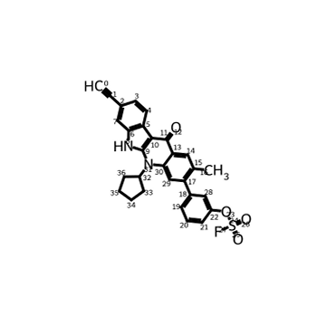 C#Cc1ccc2c(c1)[nH]c1c2c(=O)c2cc(C)c(-c3cccc(OS(=O)(=O)F)c3)cc2n1C1CCCC1